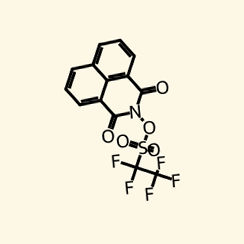 O=C1c2cccc3cccc(c23)C(=O)N1OS(=O)(=O)C(F)(F)C(F)(F)F